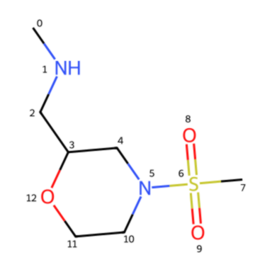 CNCC1CN(S(C)(=O)=O)CCO1